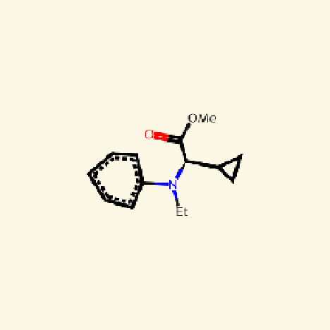 CCN(c1ccccc1)[C@@H](C(=O)OC)C1CC1